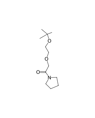 CC(C)(C)OCCOCC(=O)N1CCCC1